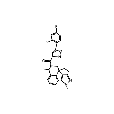 CCC1(c2cnn(C)c2)CN(C(=O)c2cc(-c3ccc(F)cc3F)on2)C(C)c2ccccc21